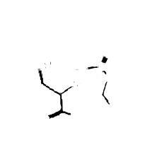 CCO[PH](=O)O.NC(CO)C(=O)O